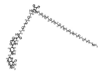 NCCOCCOCCOCCOCCOCCOCCOCCOCCOCCOCCOCCNc1c(NCCCOCCOCCOCCCNC(=O)CCC(NC(=O)c2ccc(NCc3cnc4nc(N)[nH]c(=O)c4n3)cc2)C(=O)O)c(=O)c1=O